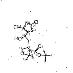 CC(C)(C)OC(=O)N1[C@@H](C[C@@H](O)c2sc(Cl)nc2Cl)COC1(C)C